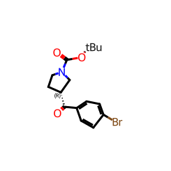 CC(C)(C)OC(=O)N1CC[C@@H](C(=O)c2ccc(Br)cc2)C1